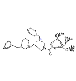 COc1cc(C(=O)N(CCCN2CCCC(Cc3ccccc3)C2)C/C(C)=C/c2ccccc2)cc(OC)c1OC